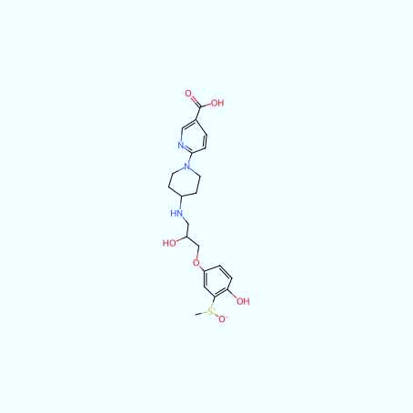 C[S+]([O-])c1cc(OCC(O)CNC2CCN(c3ccc(C(=O)O)cn3)CC2)ccc1O